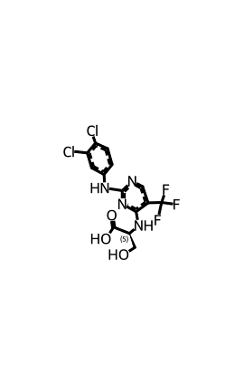 O=C(O)[C@H](CO)Nc1nc(Nc2ccc(Cl)c(Cl)c2)ncc1C(F)(F)F